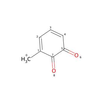 CC1=[C]C=CC(=O)C1=O